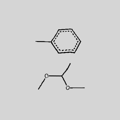 COC(C)OC.Cc1ccccc1